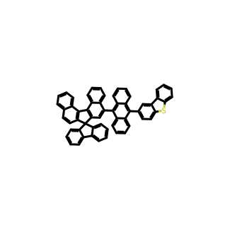 c1ccc2c(c1)-c1ccccc1C21c2ccc3ccccc3c2-c2c1cc(-c1c3ccccc3c(-c3ccc4sc5ccccc5c4c3)c3ccccc13)c1ccccc21